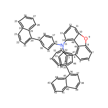 c1ccc(-c2cccc3oc4cccc(N(c5ccc(-c6cccc7ccccc67)cc5)c5ccc(-c6cccc7ccccc67)cc5)c4c23)cc1